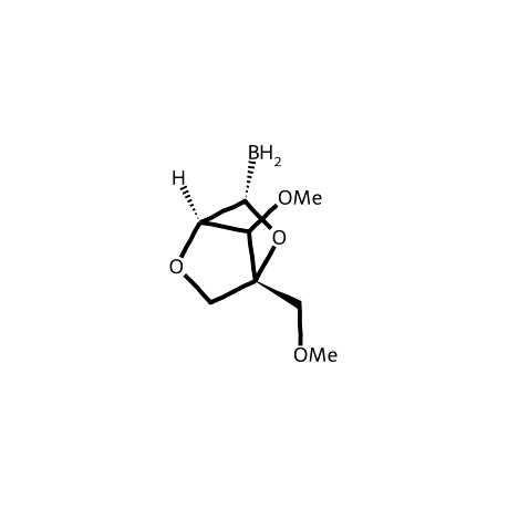 B[C@@H]1O[C@]2(COC)CO[C@@H]1C2OC